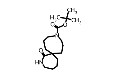 CC(C)(C)OC(=O)N1CCCC2(CCCCNC2=O)CCC1